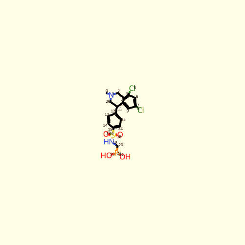 CN1Cc2c(Cl)cc(Cl)cc2C(c2ccc(S(=O)(=O)NCP(O)O)cc2)C1